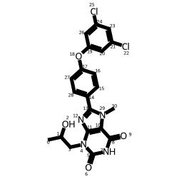 CC(O)Cn1c(=O)[nH]c(=O)c2c1nc(-c1ccc(Oc3cc(Cl)cc(Cl)c3)cc1)n2C